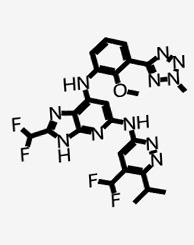 COc1c(Nc2cc(Nc3cc(C(F)F)c(C(C)C)nn3)nc3[nH]c(C(F)F)nc23)cccc1-c1nnn(C)n1